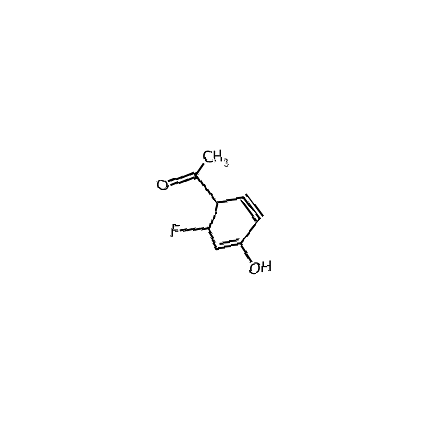 CC(=O)C1C#CC(O)=CC1F